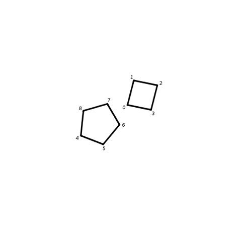 C1CCC1.C1CCCC1